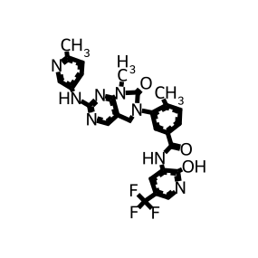 Cc1ccc(Nc2ncc3c(n2)N(C)C(=O)N(c2cc(C(=O)Nc4cc(C(F)(F)F)cnc4O)ccc2C)C3)cn1